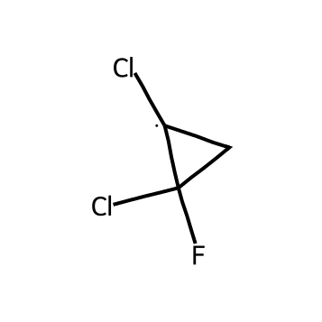 FC1(Cl)C[C]1Cl